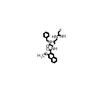 COc1cc2ccccc2cc1C(=O)N[C@@H](CCCNC(=N)CF)C(=O)NCc1ccccc1